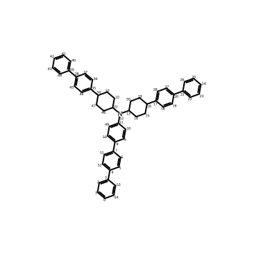 c1ccc(-c2ccc(-c3ccc(N(C4CCC(c5ccc(-c6ccccc6)cc5)CC4)C4CCC(c5ccc(-c6ccccc6)cc5)CC4)cc3)cc2)cc1